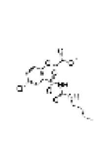 CCCCNC(=O)NS(=O)(=O)c1cc(Cl)ccc1OCC(=O)OC